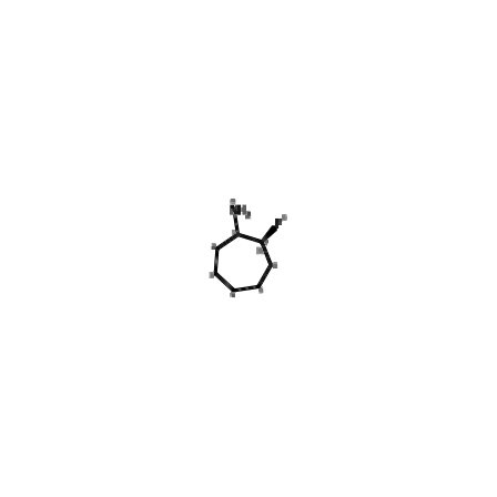 NC1CCCCC[C@@H]1F